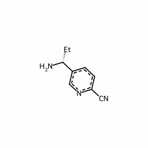 CC[C@@H](N)c1ccc(C#N)nc1